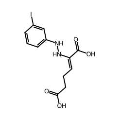 O=C(O)CC/C=C(\NNc1cccc(I)c1)C(=O)O